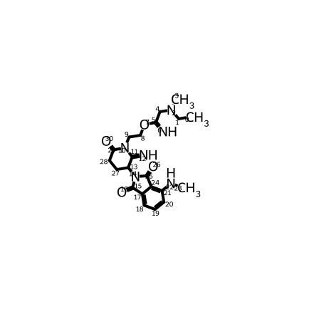 CCN(C)CC(=N)OCCN1C(=N)C(N2C(=O)c3cccc(NC)c3C2=O)CCC1=O